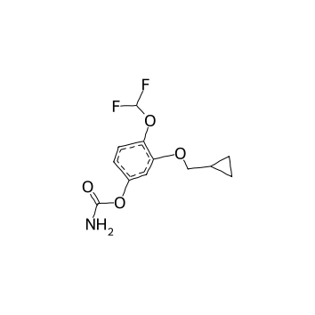 NC(=O)Oc1ccc(OC(F)F)c(OCC2CC2)c1